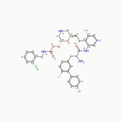 NC(Cc1ccc(F)c(-c2ccc(F)cc2)c1)C(=O)Nc1cncc(F)c1CC[C@@H]1CNC[C@@H](COC(=O)NCc2ccccc2Cl)O1